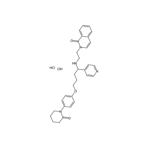 Cl.Cl.O=C1CCCCN1c1ccc(OCCCC(NCCn2ccc3ccccc3c2=O)c2ccncc2)cc1